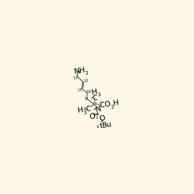 CC(C)(C)OC(=O)N(C(=O)O)C(C)(C)CC/C=C/CN